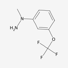 CN(N)c1cccc(OC(F)(F)F)c1